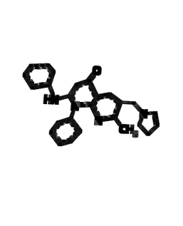 Cc1nc2c(cc1CN1C=CCC1)c(=O)cc(Nc1ccccc1)n2-c1ccccc1